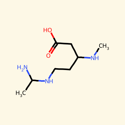 CNC(CCNC(C)N)CC(=O)O